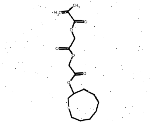 C=C(C)C(=O)OCC(=O)OCC(=O)OC1CCCCCCCCC1